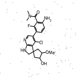 COC1CC2(CNc3ncc(-c4ccc(N)c(C(=O)N(C)C)c4F)c(Cl)c32)CC1O